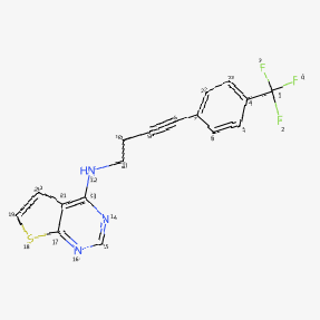 FC(F)(F)c1ccc(C#CCCNc2ncnc3sccc23)cc1